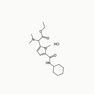 CCOC(=O)C(c1ccc(C(=O)NC2CCCCC2)n1C)N(C)C.Cl